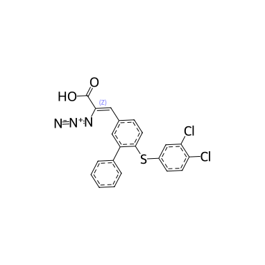 [N-]=[N+]=N/C(=C\c1ccc(Sc2ccc(Cl)c(Cl)c2)c(-c2ccccc2)c1)C(=O)O